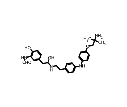 CC(C)(N)COc1ccc(Nc2ccc(CCN[C@H](O)Cc3ccc(O)c(NC=O)c3)cc2)cc1